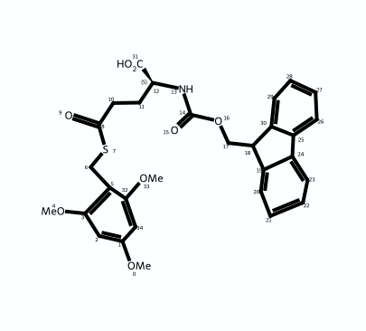 COc1cc(OC)c(CSC(=O)CC[C@H](NC(=O)OCC2c3ccccc3-c3ccccc32)C(=O)O)c(OC)c1